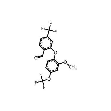 COc1cc(OC(F)(F)F)ccc1Oc1cc(C(F)(F)F)ccc1C=O